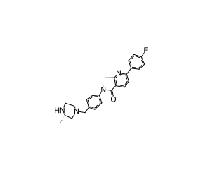 Cc1nc(-c2ccc(F)cc2)ccc1C(=O)N(C)c1ccc(CN2CCN[C@@H](C)C2)cc1